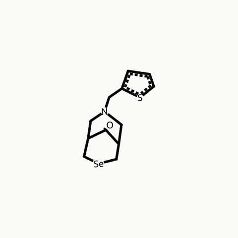 O=C1C2C[Se]CC1CN(Cc1cccs1)C2